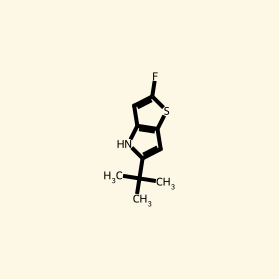 CC(C)(C)c1cc2sc(F)cc2[nH]1